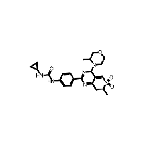 CC1CC2=NC(c3ccc(NC(=O)NC4CC4)cc3)=NC(N3CCOC[C@@H]3C)C2=CS1(=O)=O